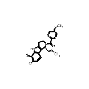 COc1cnc(C(=O)N2CCc3[nH]c4c(Cl)c(Cl)ccc4c3[C@@H]2CSC)nc1